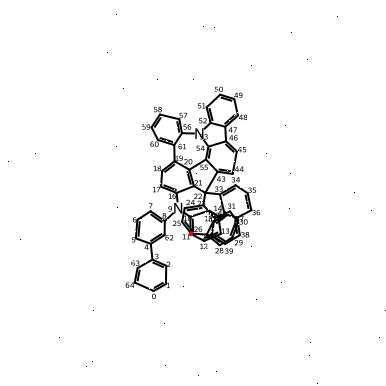 c1ccc(-c2cccc(N(c3ccccc3)c3ccc4c5c3C(c3cccc6ccccc36)(c3cccc6ccccc36)c3ccc6c7ccccc7n(c6c3-5)-c3ccccc3-4)c2)cc1